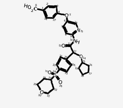 O=C(O)c1ccc(Oc2ccc(NC(=O)C(OC3CCCC3)c3ccc(S(=O)(=O)C4CCOCC4)cc3)nc2)cc1